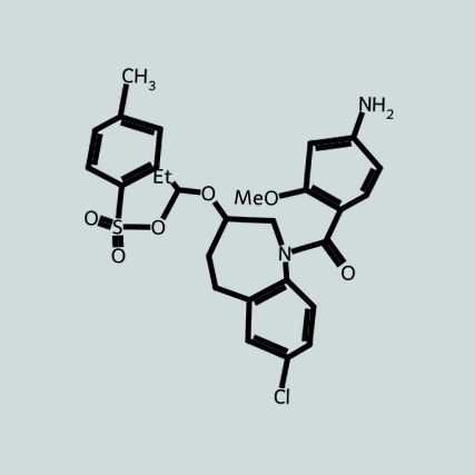 CCC(OC1CCc2cc(Cl)ccc2N(C(=O)c2ccc(N)cc2OC)C1)OS(=O)(=O)c1ccc(C)cc1